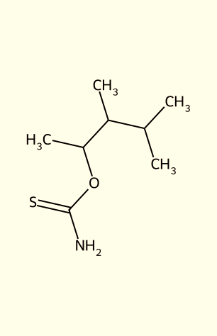 CC(C)C(C)C(C)OC(N)=S